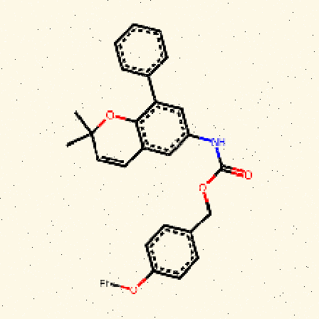 CCOc1ccc(COC(=O)Nc2cc3c(c(-c4ccccc4)c2)OC(C)(C)C=C3)cc1